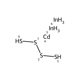 SSSS.[Cd].[InH3].[InH3]